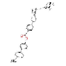 C[SiH2]CC[SiH2]C1CCC(c2ccc(C(=O)Oc3ccc(-c4ccc(C#N)cc4)cc3)cc2)CC1